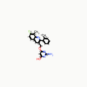 Cc1ccccc1-c1nc2c(C)c(F)ccc2cc1COc1cc(O)nc(N)n1